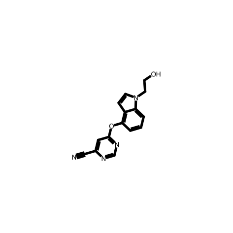 N#Cc1cc(Oc2cccc3c2ccn3CCO)ncn1